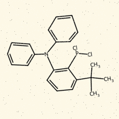 CC(C)(C)c1cccc(N(c2ccccc2)c2ccccc2)c1P(Cl)Cl